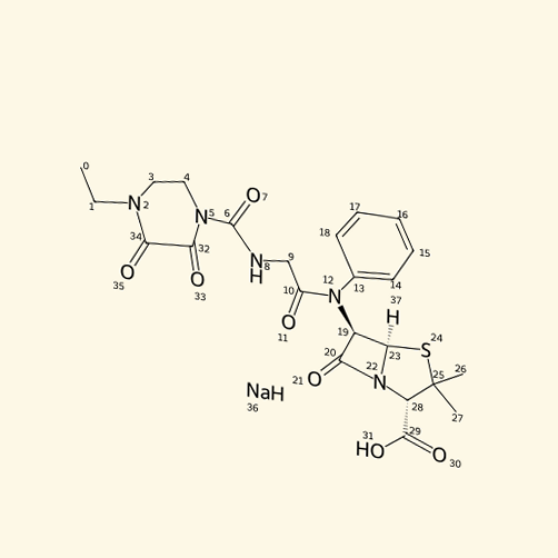 CCN1CCN(C(=O)NCC(=O)N(c2ccccc2)[C@@H]2C(=O)N3[C@@H]2SC(C)(C)[C@@H]3C(=O)O)C(=O)C1=O.[NaH]